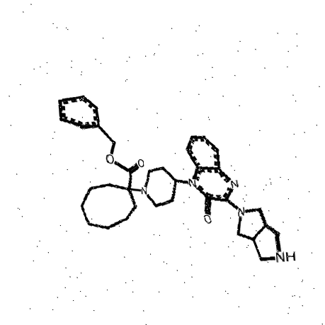 O=C(OCc1ccccc1)C1(N2CCC(n3c(=O)c(N4CC5CNCC5C4)nc4ccccc43)CC2)CCCCCCC1